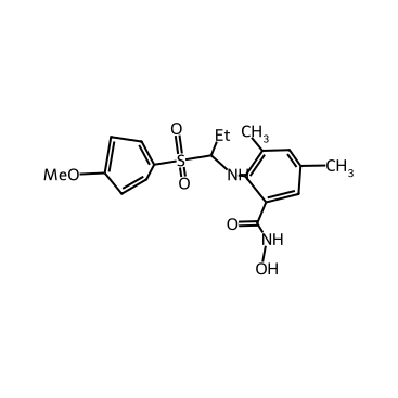 CCC(Nc1c(C)cc(C)cc1C(=O)NO)S(=O)(=O)c1ccc(OC)cc1